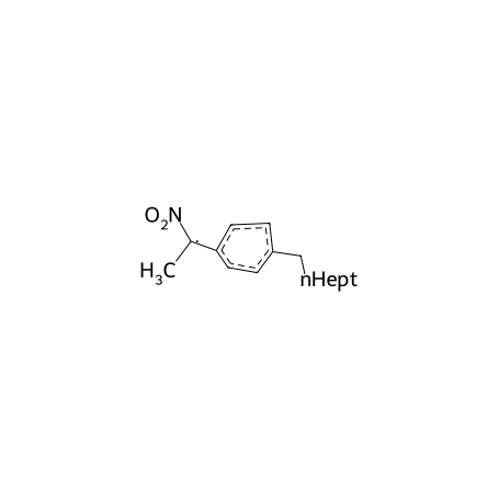 CCCCCCCCc1ccc([C](C)[N+](=O)[O-])cc1